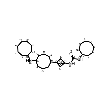 O=C(BC1CCCCCCC1)NC12CC(C3CCCC(BC4CCCCCCC4)CCC3)(C1)C2